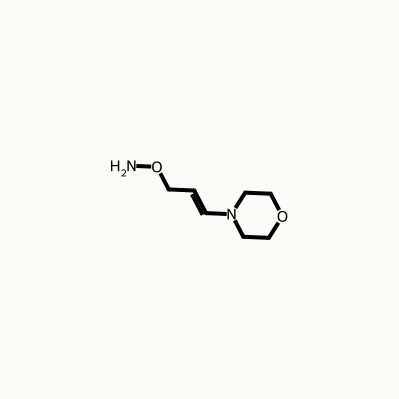 NOCC=CN1CCOCC1